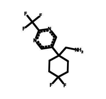 NCC1(c2cnc(C(F)(F)F)nc2)CCC(F)(F)CC1